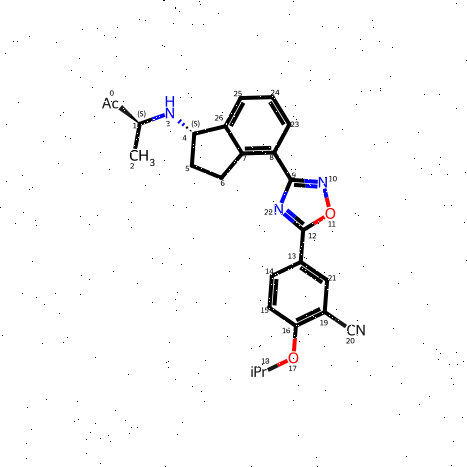 CC(=O)[C@H](C)N[C@H]1CCc2c(-c3noc(-c4ccc(OC(C)C)c(C#N)c4)n3)cccc21